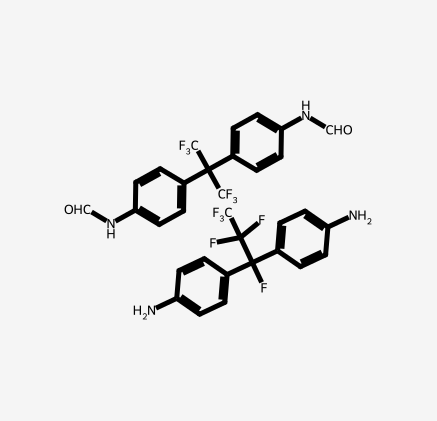 Nc1ccc(C(F)(c2ccc(N)cc2)C(F)(F)C(F)(F)F)cc1.O=CNc1ccc(C(c2ccc(NC=O)cc2)(C(F)(F)F)C(F)(F)F)cc1